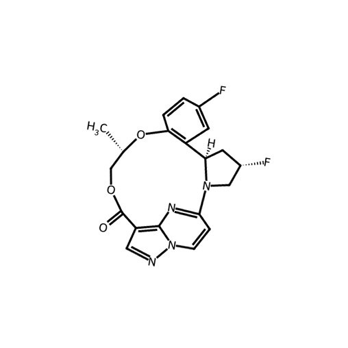 C[C@H]1COC(=O)c2cnn3ccc(nc23)N2C[C@@H](F)C[C@@H]2c2cc(F)ccc2O1